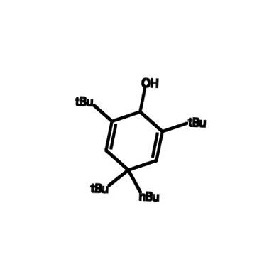 CCCCC1(C(C)(C)C)C=C(C(C)(C)C)C(O)C(C(C)(C)C)=C1